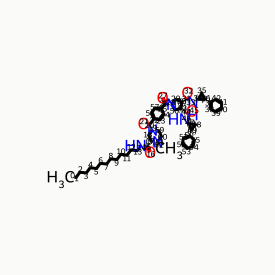 CCCCCCCCCCCCCCNC(=O)[C@@H]1CN(C(=O)c2ccc(C(=O)N3C[C@@H](C(=O)N[C@H]4C[C@@H]4c4ccccc4)[C@H](C(=O)N[C@H]4C[C@@H]4c4ccccc4)C3)cc2)CCN1C